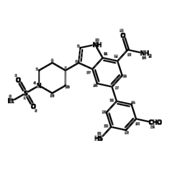 CCS(=O)(=O)N1CCC(c2c[nH]c3c(C(N)=O)cc(-c4cc(S)cc(C=O)c4)cc23)CC1